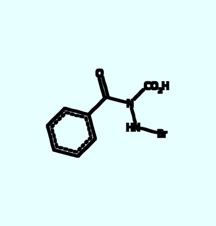 O=C(O)N(NBr)C(=O)c1ccccc1